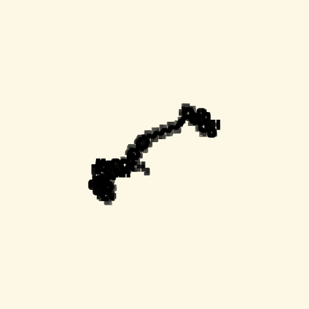 COc1cc(N2CCC(N3CCN(CCCCCCCCC#Cc4cccc5c4CN(C4CCC(=O)NC4=O)C5=O)CC3)CC2)c(C)cc1Nc1ncc(Br)c(Nc2ccc3nccnc3c2P(C)(C)=O)n1